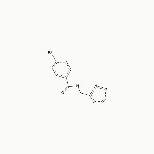 O=C(NCc1ccccn1)c1ccc(O)cc1